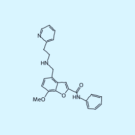 COc1ccc(CNCCc2ccccn2)c2cc(C(=O)Nc3ccccc3)oc12